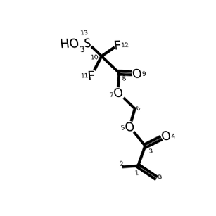 C=C(C)C(=O)OCOC(=O)C(F)(F)S(=O)(=O)O